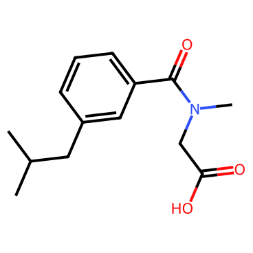 CC(C)Cc1cccc(C(=O)N(C)CC(=O)O)c1